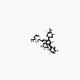 O=C1CCCC(/C=C/C2=C(c3ccc(F)cc3)C=C(c3ccccc3)C23CCCC3)O1